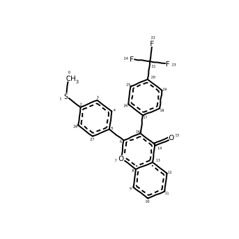 CSc1ccc(-c2oc3ccccc3c(=O)c2-c2ccc(C(F)(F)F)cc2)cc1